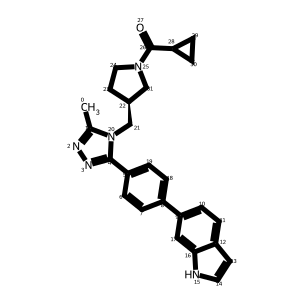 Cc1nnc(-c2ccc(-c3ccc4cc[nH]c4c3)cc2)n1C[C@H]1CCN(C(=O)C2CC2)C1